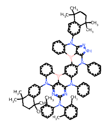 Cc1ccccc1N(c1nc2c3c(n1)N(c1ccccc1)c1cc4c(cc1B3c1ccccc1N2c1ccc2c(c1)C(C)(C)CCC2(C)C)B1c2ccccc2N(c2ccc3c(c2)C(C)(C)CCC3(C)C)c2n[nH]c(c21)N4c1ccccc1)c1c(C)cccc1C